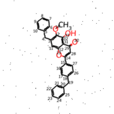 COc1c(Cc2ccccc2)cc2oc(-c3ccc(Cc4ccccc4)cc3)cc(=O)c2c1O